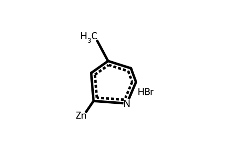 Br.Cc1ccn[c]([Zn])c1